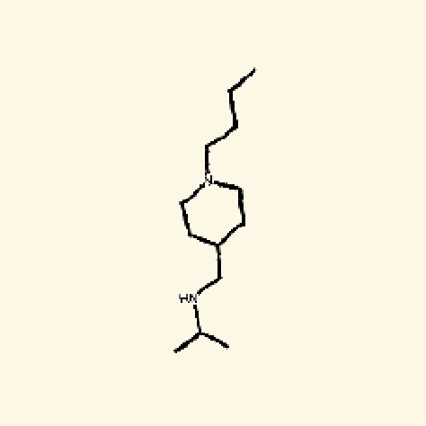 CCCCN1CCC(CNC(C)C)CC1